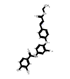 CCOC(=O)/C=C/c1ccc(Oc2ccc(NC(=O)c3ccc(Cl)c(Cl)c3)cc2F)cc1